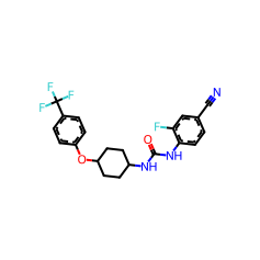 N#Cc1ccc(NC(=O)NC2CCC(Oc3ccc(C(F)(F)F)cc3)CC2)c(F)c1